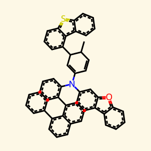 CC1C=CC(N(c2ccc3c(c2)oc2ccccc23)c2ccccc2-c2cccc3cccc(-c4ccccc4)c23)=CC1c1cccc2sc3ccccc3c12